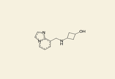 OC1CC(NCc2cccn3ccnc23)C1